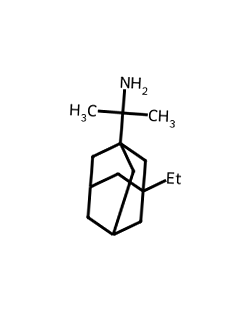 CCC12CC3CC(C1)CC(C(C)(C)N)(C3)C2